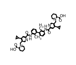 Cc1c(NC(=O)c2cc(C3CC3)c(CN3CCCC[C@H]3C(=O)O)cn2)cccc1-c1cccc(NC(=O)c2cc(C3CC3)c(CN3CCCC[C@H]3C(=O)O)cn2)c1C